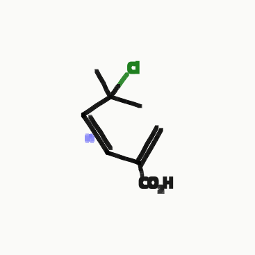 C=C(/C=C\C(C)(C)Cl)C(=O)O